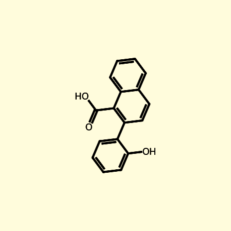 O=C(O)c1c(-c2ccccc2O)ccc2ccccc12